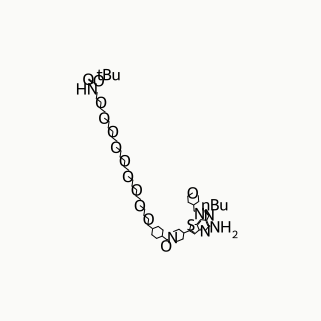 CCCCc1nc2c(N)nc3cc(C4CCN(C(=O)C5CCC(COCCOCCOCCOCCOCCOCCOCCOCCOCCNC(=O)OC(C)(C)C)CC5)CC4)sc3c2n1CC1CCOCC1